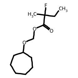 CCC(C)(F)C(=O)OCOC1CCCCCC1